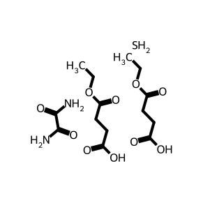 CCOC(=O)CCC(=O)O.CCOC(=O)CCC(=O)O.NC(=O)C(N)=O.S